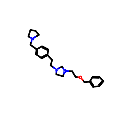 c1ccc(COCCN2CCN(CCc3ccc(CN4CCCC4)cc3)C2)cc1